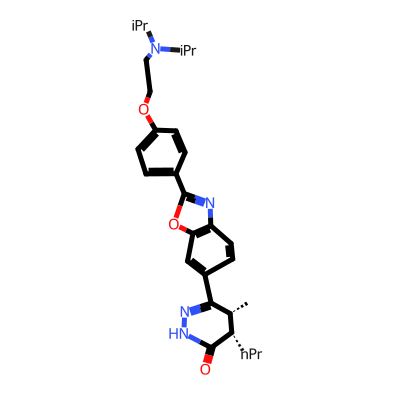 CCC[C@@H]1C(=O)NN=C(c2ccc3nc(-c4ccc(OCCN(C(C)C)C(C)C)cc4)oc3c2)[C@@H]1C